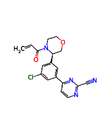 C=CC(=O)N1CCOC[C@H]1c1cc(Cl)cc(-c2ccnc(C#N)n2)c1